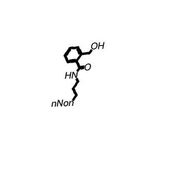 CCCCCCCCCCCCNC(=O)c1ccccc1CO